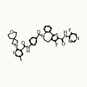 Cc1cnc(N2CC3(CCOCC3)C2)c(C(=O)Nc2ccc(C(=O)N3CCc4c(sc(C(=O)Nc5ncncc5F)c4F)-c4ccccc43)cc2)c1